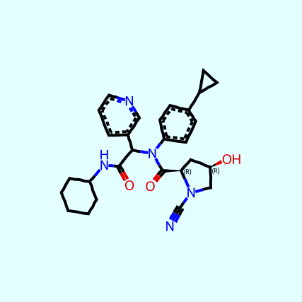 N#CN1C[C@H](O)C[C@@H]1C(=O)N(c1ccc(C2CC2)cc1)C(C(=O)NC1CCCCC1)c1cccnc1